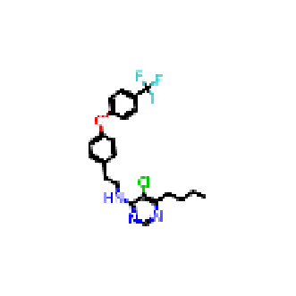 CCCCc1ncnc(NCCc2ccc(Oc3ccc(C(F)(F)F)cc3)cc2)c1Cl